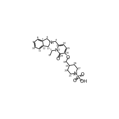 CCn1c(CN2Cc3ccccc3C2)ccc(OCC2CCN(S(=O)(=O)O)CC2)c1=O